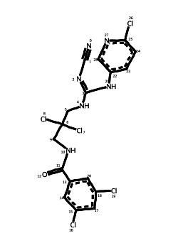 N#CN=C(NCC(Cl)(Cl)CNC(=O)c1cc(Cl)cc(Cl)c1)Nc1ccc(Cl)nc1